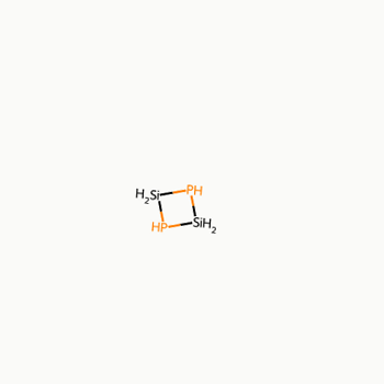 [SiH2]1P[SiH2]P1